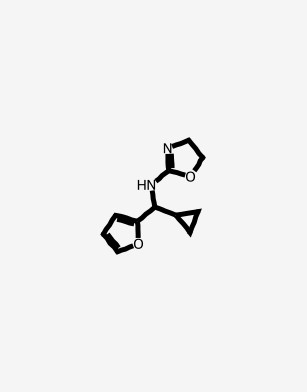 c1coc(C(NC2=NCCO2)C2CC2)c1